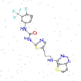 O=C(Nc1ccc(F)c(C(F)(F)F)c1)Nc1ncc(CCNc2ncnc3ccsc23)s1